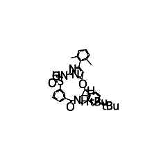 Cc1cccc(C)c1-c1cc2nc(n1)NS(=O)(=O)c1cccc(c1)C(=O)N1Cc3cc(C(C)(C)C)ccc3[C@@H](O2)[C@H]1CC(C)(C)C